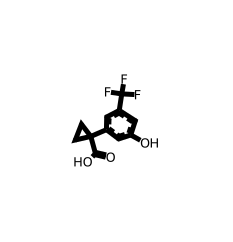 O=C(O)C1(c2cc(O)cc(C(F)(F)F)c2)CC1